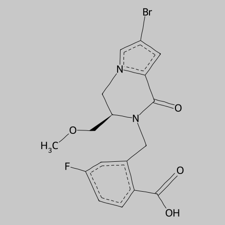 COC[C@H]1Cn2cc(Br)cc2C(=O)N1Cc1cc(F)ccc1C(=O)O